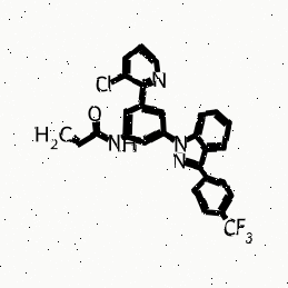 C=CC(=O)Nc1cc(-c2ncccc2Cl)cc(-n2nc(-c3ccc(C(F)(F)F)cc3)c3ccccc32)c1